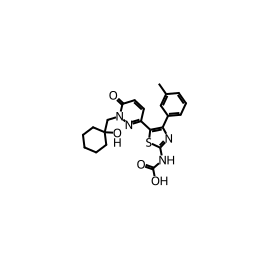 Cc1cccc(-c2nc(NC(=O)O)sc2-c2ccc(=O)n(CC3(O)CCCCC3)n2)c1